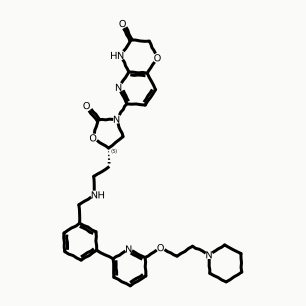 O=C1COc2ccc(N3C[C@H](CCNCc4cccc(-c5cccc(OCCN6CCCCC6)n5)c4)OC3=O)nc2N1